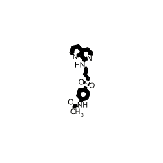 CC(=O)Nc1ccc(S(=O)(=O)CC=CNc2nccc3cccnc23)cc1